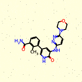 Cc1c(C(N)=O)cccc1-c1c[nH]c(=O)c(Nc2ccc(N3CCOCC3)nn2)c1